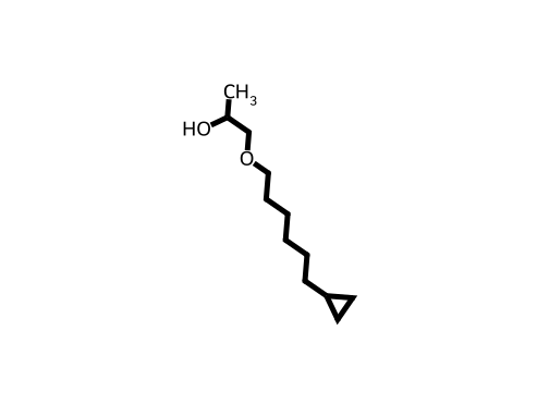 CC(O)COCCCCCCC1CC1